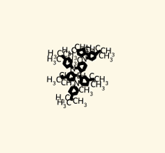 Cc1cc(C(C)(C)C)ccc1N1c2ccc(C(C)(C)C)cc2B2c3ccc(N4c5ccc(C(C)(C)C)cc5C5(C)CC(C)(C)CC45C)cc3N(c3ccc(C(C)(C)C)cc3)c3cc(C(C)(C)C)cc1c32